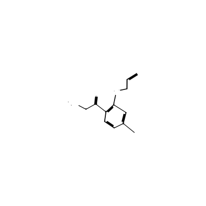 C=CCOc1cc(C)ccc1C(=O)CC#N